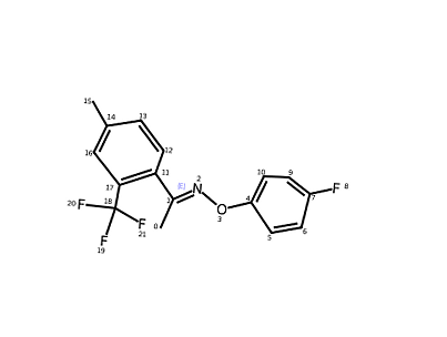 C/C(=N\Oc1ccc(F)cc1)c1ccc(C)cc1C(F)(F)F